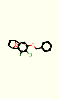 Fc1c(Cl)c(OCc2ccccc2)cc2c1C1C=CC2O1